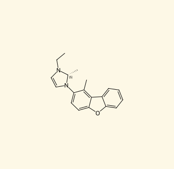 CCN1C=CN(c2ccc3oc4ccccc4c3c2C)[C@H]1C